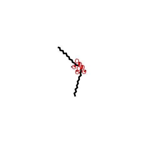 CCCCCCCCCCCC(OC)=C(OC)C(OC)OC(OC)C(OC)=C(CCCCCCCCCCC)OC